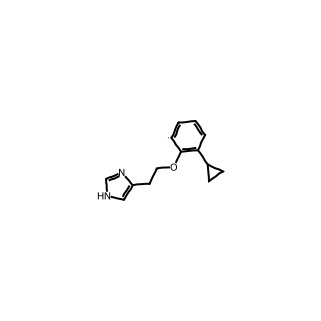 [c]1cccc(C2CC2)c1OCCc1c[nH]cn1